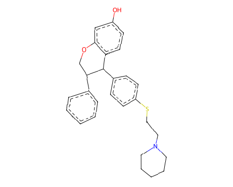 Oc1ccc2c(c1)OCC(c1ccccc1)C2c1ccc(SCCN2CCCCC2)cc1